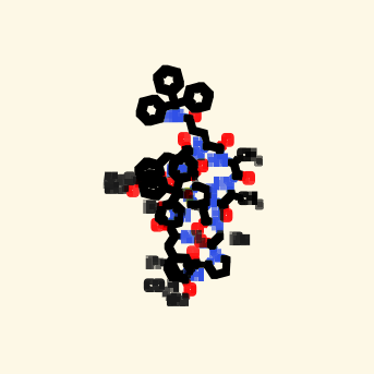 CC[C@H](C)[C@H](NC(=O)[C@H](CSC(c1ccccc1)(c1ccccc1)c1ccc(OC)cc1)NC(=O)[C@H](C)NC(=O)[C@H](C)NC(=O)[C@H](CCC(=O)NC(c1ccccc1)(c1ccccc1)c1ccccc1)NC(=O)[C@H](Cc1ccc(OC(C)(C)C)cc1)NC(=O)[C@@H]1CCCN1C(=O)[C@@H](NC(=O)[C@@H](N)Cc1ccc(OC(C)(C)C)cc1)[C@@H](C)CC)C(=O)N1CCC[C@H]1C(=O)N[C@@H](CC(C)C)C(=O)O